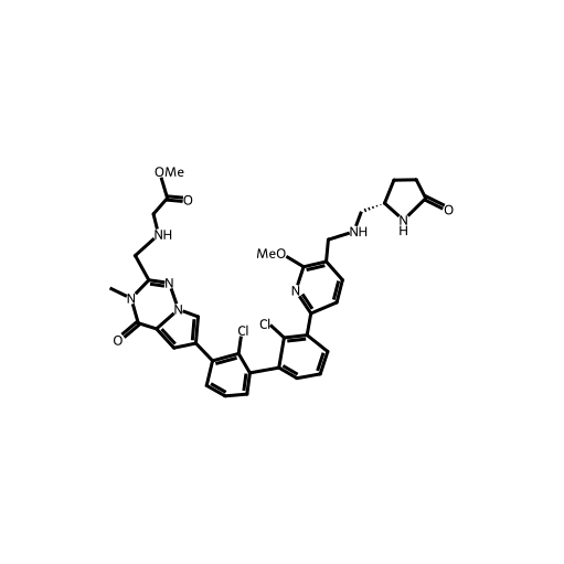 COC(=O)CNCc1nn2cc(-c3cccc(-c4cccc(-c5ccc(CNC[C@@H]6CCC(=O)N6)c(OC)n5)c4Cl)c3Cl)cc2c(=O)n1C